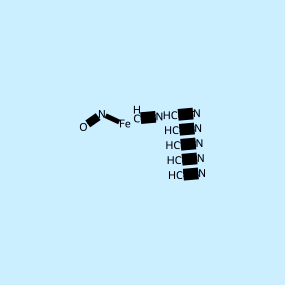 C#N.C#N.C#N.C#N.C#N.C#N.O=[N][Fe]